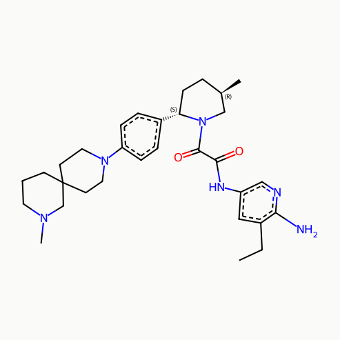 CCc1cc(NC(=O)C(=O)N2C[C@H](C)CC[C@H]2c2ccc(N3CCC4(CCCN(C)C4)CC3)cc2)cnc1N